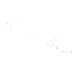 C=C(C)C(=O)OCC(CO)CCCCC1CCC(CCc2ccc(/C=C(\C)CCCCC)c(CC)c2)CO1